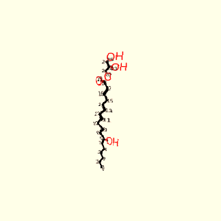 CCCCCCC(O)CCCCCCCCC=CC(=O)OCC(O)CO